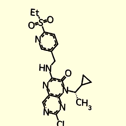 CCS(=O)(=O)c1ccc(CNc2nc3cnc(Cl)nc3n([C@@H](C)C3CC3)c2=O)cn1